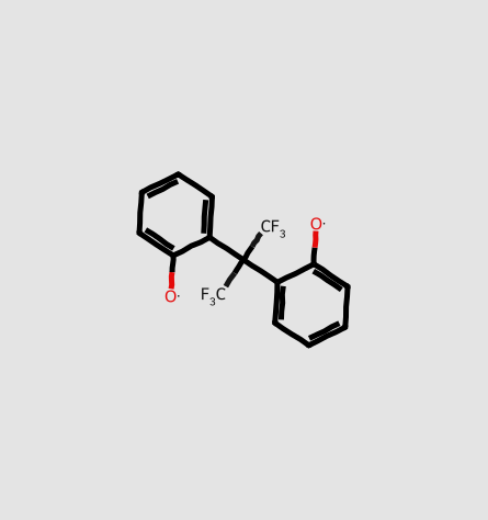 [O]c1ccccc1C(c1ccccc1[O])(C(F)(F)F)C(F)(F)F